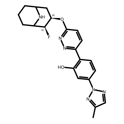 Cc1cnn(-c2ccc(-c3ccc(O[C@@H]4CC5CCCC(N5)[C@@H]4F)nn3)c(O)c2)n1